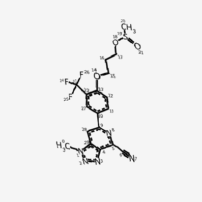 Cn1nnc2c(C#N)nc(-c3ccc(OCCCOS(C)=O)c(C(F)(F)F)c3)cc21